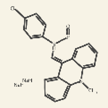 CN1c2ccccc2C(=C[SH](P=O)c2ccc(Cl)cc2)c2ccccc21.[NaH].[NaH]